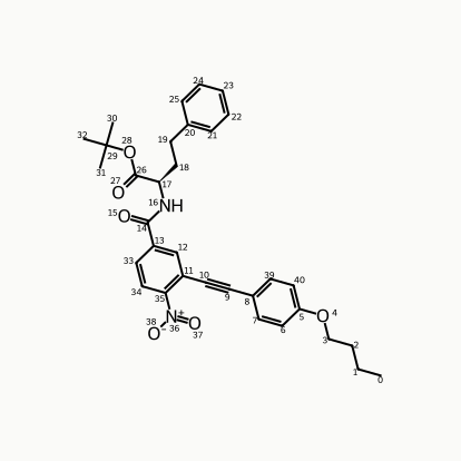 CCCCOc1ccc(C#Cc2cc(C(=O)N[C@H](CCc3ccccc3)C(=O)OC(C)(C)C)ccc2[N+](=O)[O-])cc1